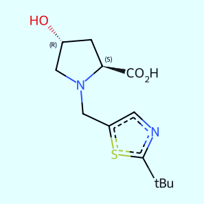 CC(C)(C)c1ncc(CN2C[C@H](O)C[C@H]2C(=O)O)s1